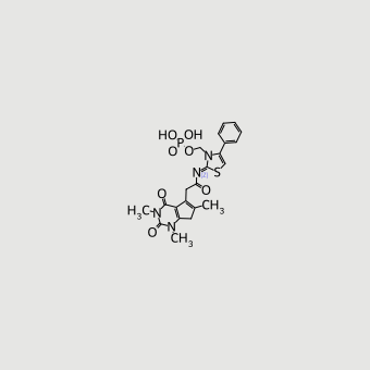 CC1=C(CC(=O)/N=c2\scc(-c3ccccc3)n2COP(=O)(O)O)c2c(n(C)c(=O)n(C)c2=O)C1